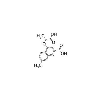 Cc1ccc2c(O[C@H](C)C(=O)O)cc(C(=O)O)nc2c1